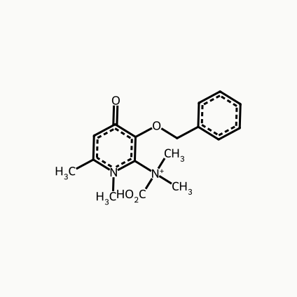 Cc1cc(=O)c(OCc2ccccc2)c([N+](C)(C)C(=O)O)n1C